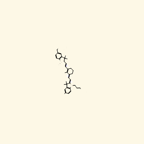 CCCC[N+]1=C(/C=C/C2=C(Br)C(=C/C=C3/N(CCCS(=O)(=O)O)c4ccc(S(=O)(=O)O)cc4C3(C)C)/CCC2)C(C)(C)c2cc(CC(=O)O)ccc21